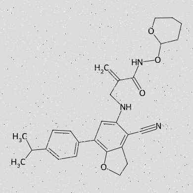 C=C(CNc1cc(-c2ccc(C(C)C)cc2)c2c(c1C#N)CCO2)C(=O)NOC1CCCCO1